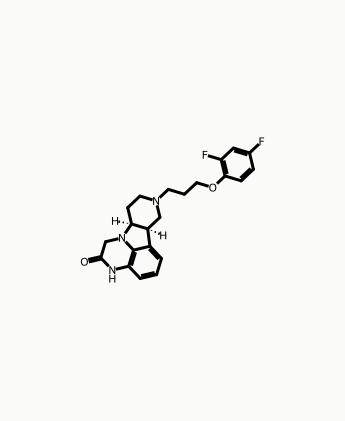 O=C1CN2c3c(cccc3[C@@H]3CN(CCCOc4ccc(F)cc4F)CC[C@@H]32)N1